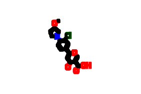 CO[C@@H]1CCN(c2ccc(-c3cc(=O)c(C(=O)O)co3)cc2Cl)C1